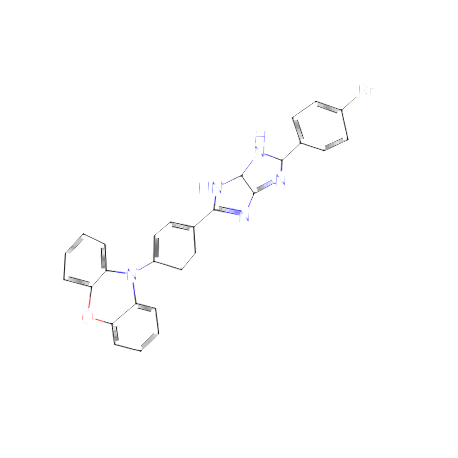 Brc1ccc(C2N=C3N=C(C4=CC=C(N5c6ccccc6Oc6ccccc65)CC4)NC3N2)cc1